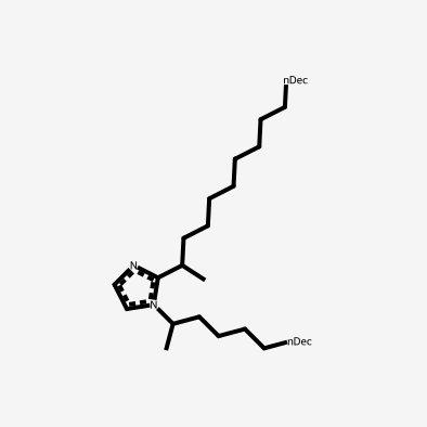 CCCCCCCCCCCCCCCCCCC(C)c1nccn1C(C)CCCCCCCCCCCCCC